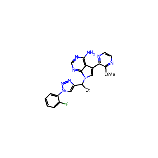 CCC(c1cn(-c2ccccc2F)nn1)n1cc(-c2nccnc2OC)c2c(N)ncnc21